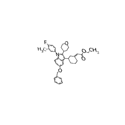 CCOC(=O)C=C1CCCC(c2c(C3CCOCC3)n(-c3ccc(F)c(C)c3)c3ccc(OCc4ccccc4)cc23)C1